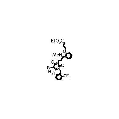 CCOC(=O)CCCOc1ccccc1[C@H](CCn1c(=O)c(Br)c(C)n(Cc2c(F)cccc2C(F)(F)F)c1=O)NC